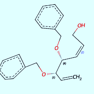 C=C[C@H](OCc1ccccc1)[C@@H](/C=C\CO)OCc1ccccc1